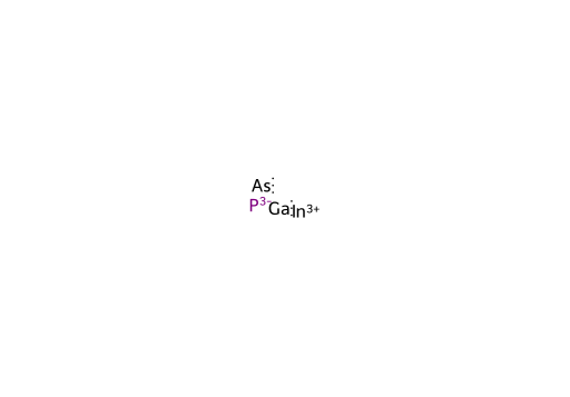 [As].[Ga].[In+3].[P-3]